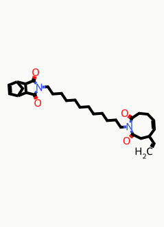 C=CC1/C=C\CCC(=O)N(CCCCCCCCCCCCN2C(=O)C3C4C=CC(C4)C3C2=O)C(=O)C1